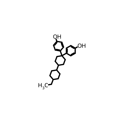 CCC1CCC(C2CCC(c3ccc(O)cc3)(c3ccc(O)cc3)CC2)CC1